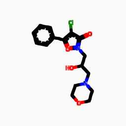 O=c1c(Cl)c(-c2ccccc2)on1CC(O)CN1CCOCC1